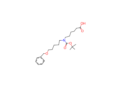 CC(C)(C)OC(=O)N(CCCCCOCc1ccccc1)CCCCCC(=O)O